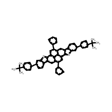 CC(C)(C)c1ccc(-c2ccc3c(c2)oc2c3cc3c(-c4ccccc4)cc4c5oc6cc(-c7ccc(C(C)(C)C)cc7)ccc6c5cc5c(-c6ccccc6)cc2c3c54)cc1